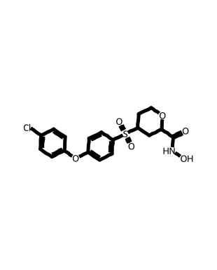 O=C(NO)C1CC(S(=O)(=O)c2ccc(Oc3ccc(Cl)cc3)cc2)CCO1